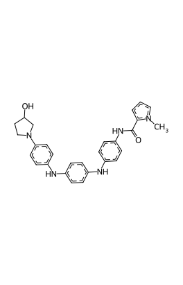 Cn1cccc1C(=O)Nc1ccc(Nc2ccc(Nc3ccc(N4CCC(O)C4)cc3)cc2)cc1